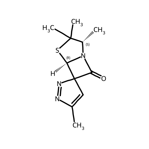 CC1=CC2(N=N1)C(=O)N1[C@@H](C)C(C)(C)S[C@@H]12